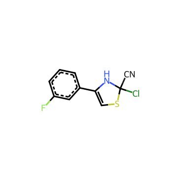 N#CC1(Cl)NC(c2cccc(F)c2)=CS1